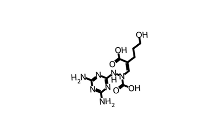 Nc1nc(N)nc(NN(C=C(CCCO)C(=O)O)C(=O)O)n1